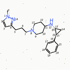 Cn1ccc(CCCN2CCC(N[C@@H]3C[C@H]3c3ccccc3)CC2)n1